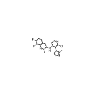 Cc1nc2c(F)c(F)ccc2cc1Nc1ccnc(Cl)c1-c1ccnn1C